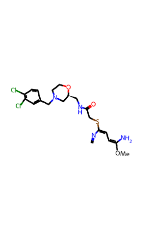 C=N/C(=C\C=C(/N)OC)SCC(=O)NC[C@H]1CN(Cc2ccc(Cl)c(Cl)c2)CCO1